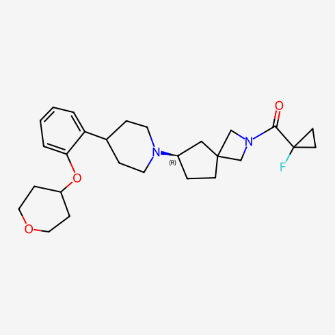 O=C(N1CC2(CC[C@@H](N3CCC(c4ccccc4OC4CCOCC4)CC3)C2)C1)C1(F)CC1